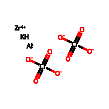 [Al].[KH].[O]=[Cr](=[O])([O-])[O-].[O]=[Cr](=[O])([O-])[O-].[Zr+4]